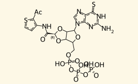 CC(=O)c1sccc1NC(=O)[C@@H]1OC2C(COP(=O)(O)OP(=O)(O)OP(=O)(O)O)OC(n3cnc4c(=S)[nH]c(N)nc43)C2O1